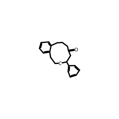 O=C1CCCc2ccccc2CCCC(c2ccccc2)C1